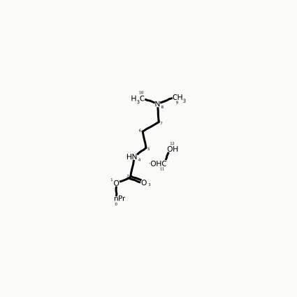 CCCOC(=O)NCCCN(C)C.O=[C]O